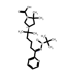 CC(C)(CCC/C(=N\[S+]([O-])C(C)(C)C)c1ccccn1)[C@H]1CN(C(=O)O)C(C)(C)C1